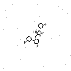 C[C@H]1N=C(CC2C=CC(F)=CC2c2cccc(F)c2)N[C@@H]1c1cccc(F)c1